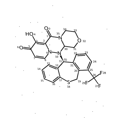 O=C1c2c(O)c(=O)ccn2N([C@@H]2c3ccccc3SCc3c2cccc3C(F)(F)F)C2COCCN12